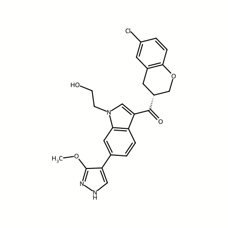 COc1n[nH]cc1-c1ccc2c(C(=O)[C@H]3COc4ccc(Cl)cc4C3)cn(CCO)c2c1